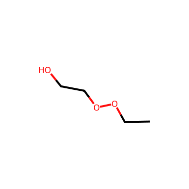 CCOOCCO